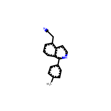 Cc1ccc(-c2nccc3c(CC#N)cccc23)cc1